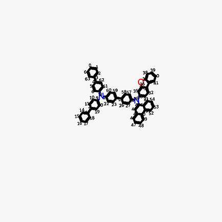 c1ccc(-c2ccc(N(c3ccc(-c4ccccc4)cc3)c3ccc(-c4ccc(N(c5ccc6c(c5)oc5ccccc56)c5cc6ccccc6c6ccccc56)cc4)cc3)cc2)cc1